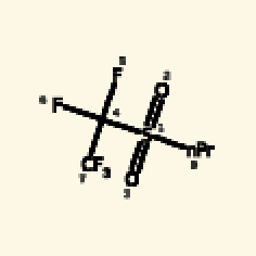 CCCS(=O)(=O)C(F)(F)C(F)(F)F